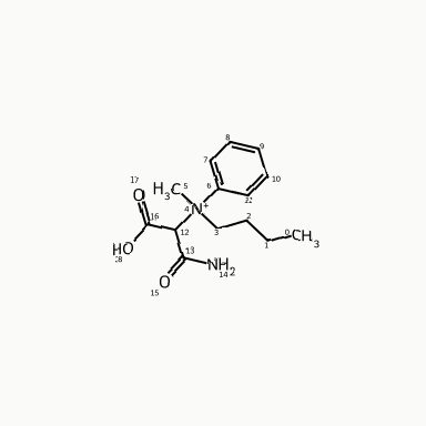 CCCC[N+](C)(c1ccccc1)C(C(N)=O)C(=O)O